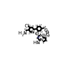 CN/C(=C\C(=N)n1cccc1)Oc1cc(C=C=O)ccc1-c1cc(Cl)c(CN)cn1